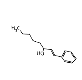 CCCCCC(O)/C=C/c1ccccc1